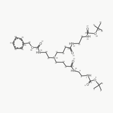 CC(C)(C)OC(=O)NCCNC(=O)CCCN(CCCC(=O)NCCNC(=O)OC(C)(C)C)CCNC(=O)OCc1ccccc1